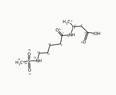 CN(CC(=O)O)NC(=O)CCCCNS(C)(=O)=O